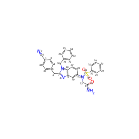 N#Cc1ccc(Cc2nc3cc(N(CC(N)=O)S(=O)(=O)c4ccccc4)ccc3n2Cc2ccccc2)cc1